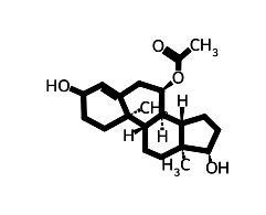 CC(=O)O[C@@H]1CC2=CC(O)CC[C@]2(C)[C@H]2CC[C@]3(C)[C@@H](O)CC[C@H]3[C@H]12